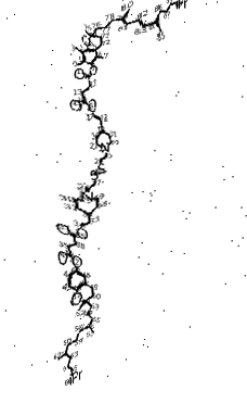 Cc1c(C)c2c(c(C)c1OC(=O)CCC(=O)OCCC1CCN(CCSSCCN3CCC(CCOC(=O)CCC(=O)Oc4ccc5c(c4)CCC(C)(CCCC(C)CCCC(C)CCCC(C)C)O5)CC3)CC1)CCC(C)(CCCC(C)CCCC(C)CCCC(C)C)O2